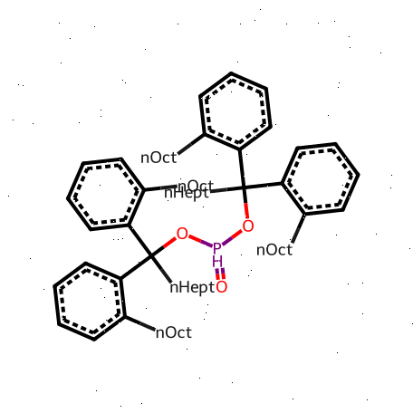 CCCCCCCCc1ccccc1C(CCCCCCC)(O[PH](=O)OC(CCCCCCC)(c1ccccc1CCCCCCCC)c1ccccc1CCCCCCCC)c1ccccc1CCCCCCCC